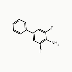 Nc1c(F)cc(-c2ccccc2)cc1F